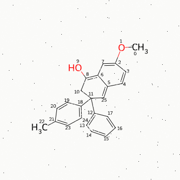 COc1ccc2c(c1)=C(O)CC(c1ccccc1)(c1ccc(C)cc1)C=2